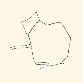 C=C1/C=C\[CH]CCCC2CCC12